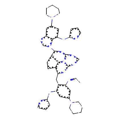 C/C=N\c1cc(N2CCCCC2)cc(Nc2ccc[nH]2)c1Cc1nc2ncnc3nc(-n4cnc5cc(N6CCCCC6)cc(Nc6ccc[nH]6)c54)c4ccc1c4n23